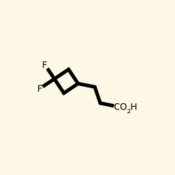 O=C(O)CCC1CC(F)(F)C1